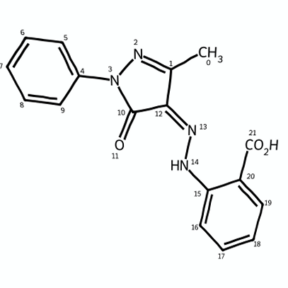 CC1=NN(c2ccccc2)C(=O)C1=NNc1ccccc1C(=O)O